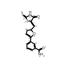 NC(=O)c1cccc(C2=CCC(/C=C3\SC(=S)NC3=O)O2)c1